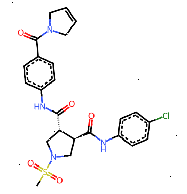 CS(=O)(=O)N1C[C@H](C(=O)Nc2ccc(Cl)cc2)[C@@H](C(=O)Nc2ccc(C(=O)N3CC=CC3)cc2)C1